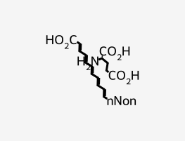 CCCCCCCCCC=CC=CC=CC=CC=CC(=O)O.N[C@@H](CCC(=O)O)C(=O)O